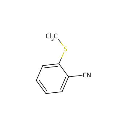 N#Cc1ccccc1SC(Cl)(Cl)Cl